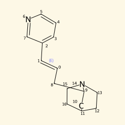 C(=C\c1cccnc1)/CC1CC2CCN1CC2